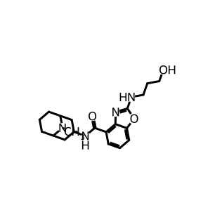 CN1C2CCCC1CC(NC(=O)c1cccc3oc(NCCCO)nc13)C2